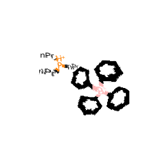 CCC[PH+](CCC)CCC.c1ccc([B-](c2ccccc2)(c2ccccc2)c2ccccc2)cc1